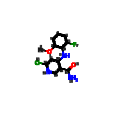 CCOc1cccc(F)c1Nc1cc(Cl)ncc1C(N)=O